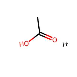 CC(=O)O.[H]